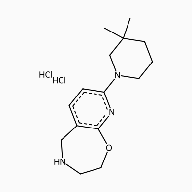 CC1(C)CCCN(c2ccc3c(n2)OCCNC3)C1.Cl.Cl